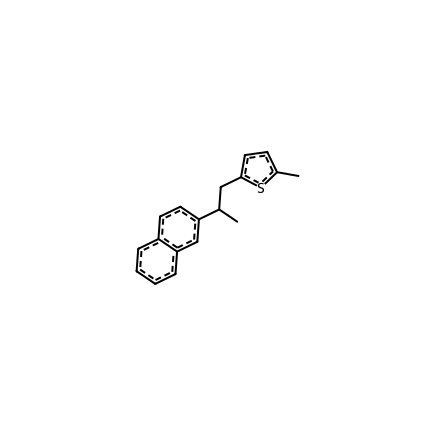 Cc1ccc(CC(C)c2ccc3ccccc3c2)s1